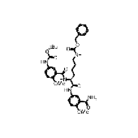 COc1ccc(NC(=O)[C@H](CCCCNC(=O)OCc2ccccc2)NC(=O)c2cc(NC(=O)OC(C)(C)C)ccc2OC)cc1C(N)=O